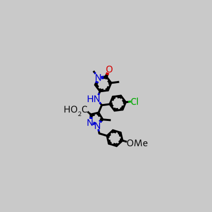 COc1ccc(Cn2nc(C(=O)O)c(C(Nc3cc(C)c(=O)n(C)c3)c3ccc(Cl)cc3)c2C)cc1